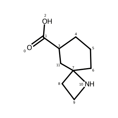 O=C(O)C1CCCC2(CCN2)C1